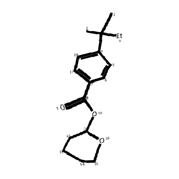 CCC(C)(C)c1ccc(C(=O)OC2CCCCO2)cc1